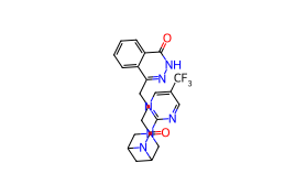 O=C(CCCc1n[nH]c(=O)c2ccccc12)N1C2CC1CN(c1ncc(C(F)(F)F)cn1)C2